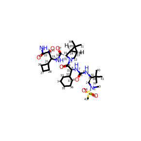 CN(C[C@@H](NC(=O)N[C@H](C(=O)N1C[C@H]2[C@@H]([C@H]1C(=O)NC(C(=O)C(N)=O)C1CCC1)C2(C)C)C1CCCCC1)C(C)(C)C)S(C)(=O)=O